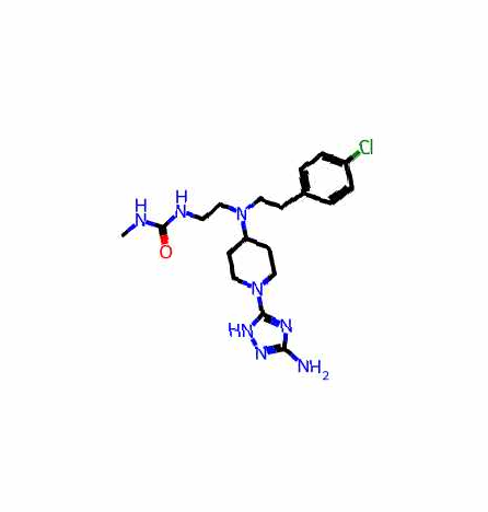 CNC(=O)NCCN(CCc1ccc(Cl)cc1)C1CCN(c2nc(N)n[nH]2)CC1